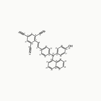 N#Cc1cc(C#N)c(C=Cc2ccc(N(c3ccc(O)cc3)c3cccc4ccccc34)cc2)c(C#N)c1